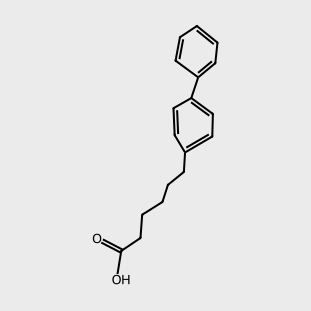 O=C(O)CCCCCc1ccc(-c2ccccc2)cc1